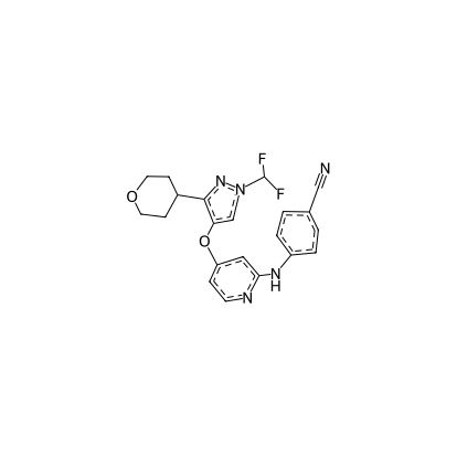 N#Cc1ccc(Nc2cc(Oc3cn(C(F)F)nc3C3CCOCC3)ccn2)cc1